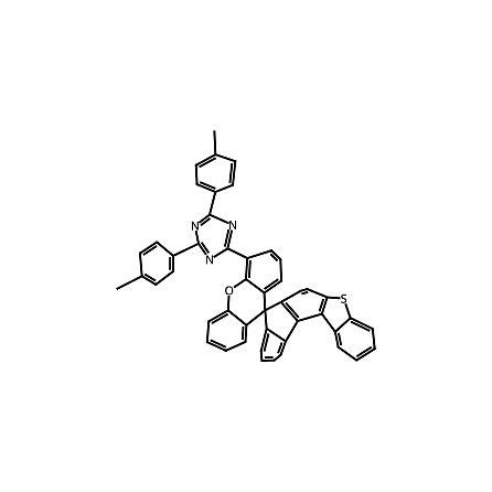 Cc1ccc(-c2nc(-c3ccc(C)cc3)nc(-c3cccc4c3Oc3ccccc3C43c4ccccc4-c4c3ccc3sc5ccccc5c43)n2)cc1